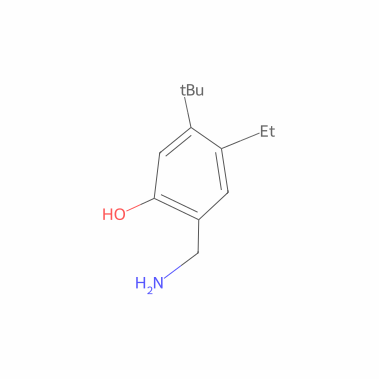 CCc1cc(CN)c(O)cc1C(C)(C)C